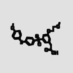 COCCOc1cc(CC(=O)O)cc(S(=O)(=O)c2ccc(Sc3ccc(OC)cc3)cc2)c1